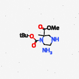 COC(=O)C1(C)CNCCN1C(=O)OC(C)(C)C.N